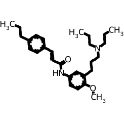 CCCc1ccc(C=CC(=O)Nc2ccc(OC)c(CCCN(CCC)CCC)c2)cc1